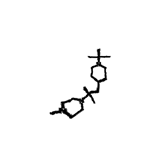 CN1CCN(C(C)(C)CC2CCN(C(C)(C)C)CC2)CC1